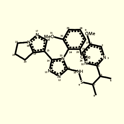 COc1cnc(C(C)C(C)SNc2nnc(-c3cnn4c3CCC4)n2-c2c(OC)cccc2OC)nc1